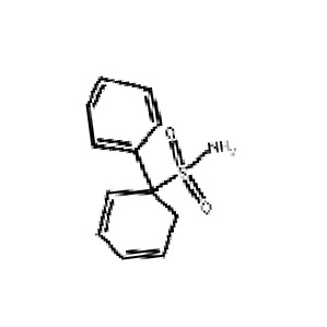 NS(=O)(=O)C1(c2ccccc2)C=CC=CC1